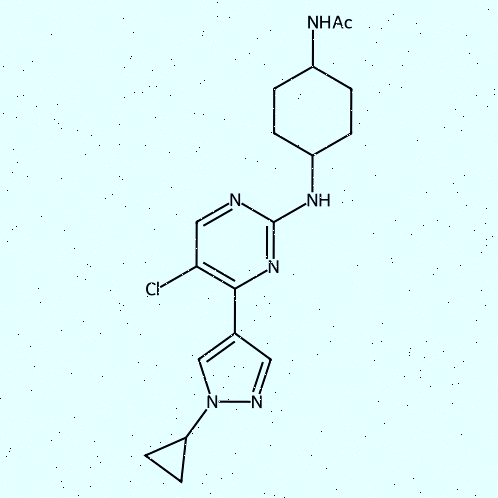 CC(=O)NC1CCC(Nc2ncc(Cl)c(-c3cnn(C4CC4)c3)n2)CC1